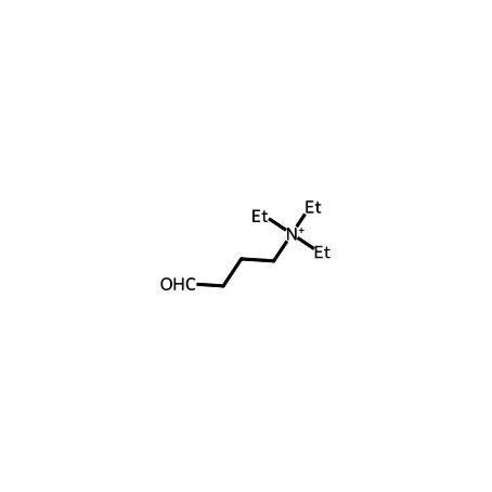 CC[N+](CC)(CC)CCCC=O